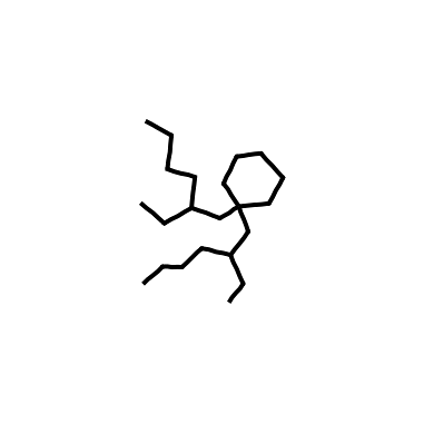 CCCCC(CC)CC1(CC(CC)CCCC)CCCCC1